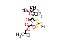 C=C(Cl)COC(=O)C(=O)N1C(=O)[C@H](C(C)O[Si](C)(C)C(C)(C)C)[C@H]1SC(=S)SCC